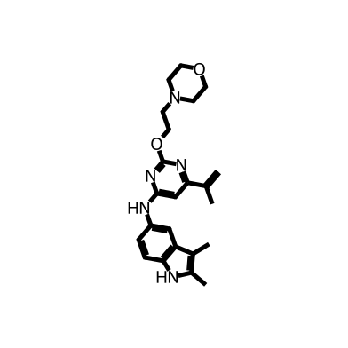 C=C(C)c1cc(Nc2ccc3[nH]c(C)c(C)c3c2)nc(OCCN2CCOCC2)n1